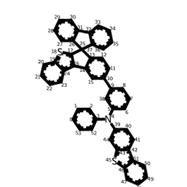 c1ccc(N(c2cccc(-c3ccc4c(c3)-c3c(sc5ccccc35)C43c4ccccc4-c4ccccc43)c2)c2ccc3c(c2)sc2ccccc23)cc1